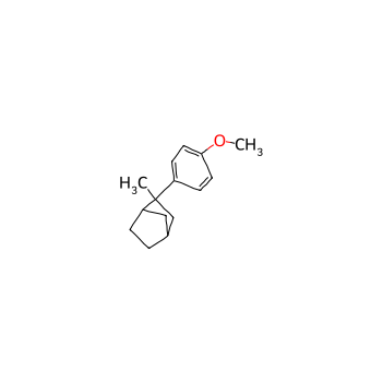 COc1ccc(C2(C)CC3CCC2C3)cc1